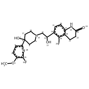 COc1ccc(C2(O)CCN(CC(O)c3ccc4c(c3F)CCC(=O)N4)CC2)nc1F